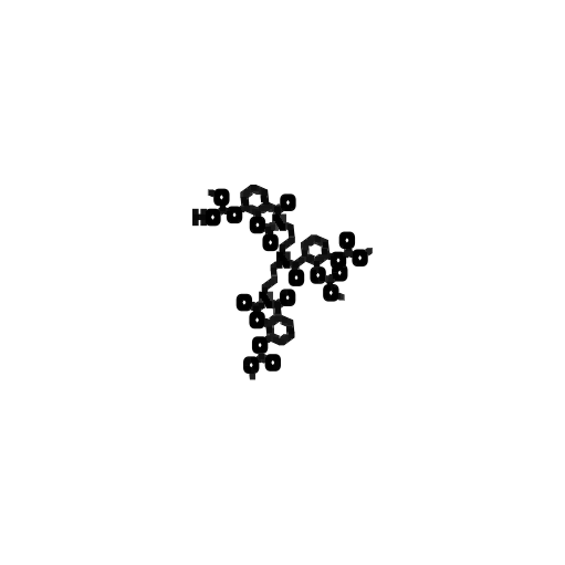 COC(=O)Oc1cccc(C(=O)N(CCCn2c(=O)oc3c(OC(=O)OC)cccc3c2=O)CCCn2c(=O)oc3c(OC(O)OC)cccc3c2=O)c1OC(=O)OC